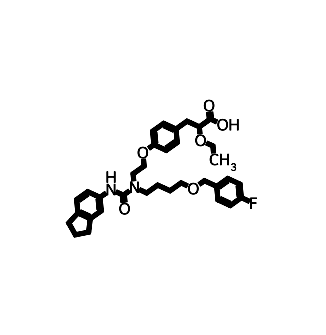 CCOC(Cc1ccc(OCCN(CCCCOCc2ccc(F)cc2)C(=O)Nc2ccc3c(c2)CCC3)cc1)C(=O)O